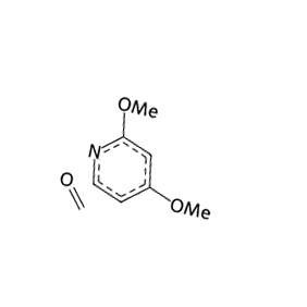 C=O.COc1ccnc(OC)c1